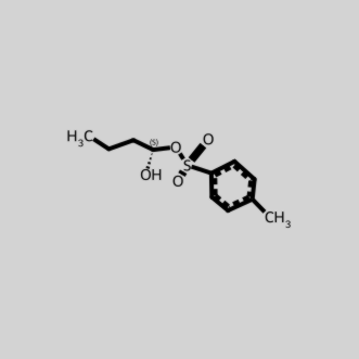 CCC[C@@H](O)OS(=O)(=O)c1ccc(C)cc1